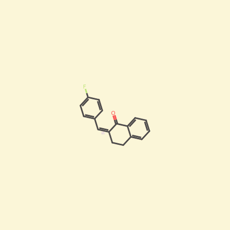 O=C1/C(=C\c2ccc(F)cc2)CCc2ccccc21